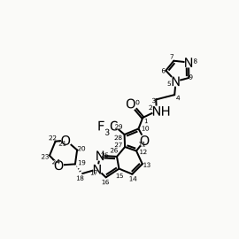 O=C(NCCn1ccnc1)c1oc2ccc3cn(C[C@H]4COCCO4)nc3c2c1C(F)(F)F